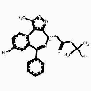 Cc1ccc2c(c1)C(c1ccccc1)=N[C@@H](CC(=O)OC(C)(C)C)c1onc(C)c1-2